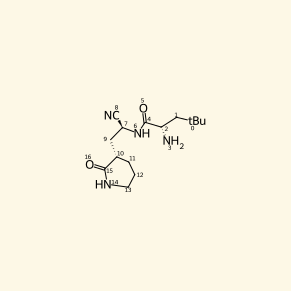 CC(C)(C)C[C@H](N)C(=O)N[C@H](C#N)C[C@@H]1CCCNC1=O